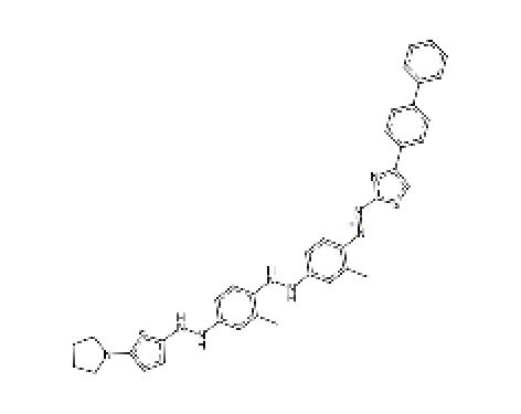 Cc1cc(NNc2ccc(NNc3ccc(N4CCCC4)s3)cc2C)ccc1/N=N/c1nc(-c2ccc(-c3ccccc3)cc2)cs1